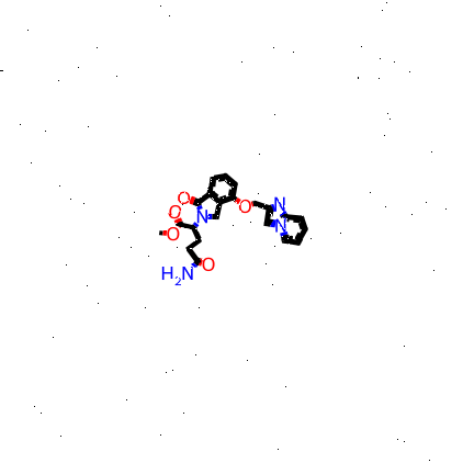 COC(=O)C(CCC(N)=O)N1Cc2c(OCc3cn4ccccc4n3)cccc2C1=O